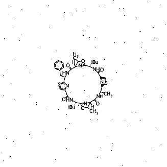 CCC(C)[C@@H]1NC(=O)c2csc(n2)[C@@H](Cc2ccccc2)NC(=O)[C@H]2N=C(O[C@@H]2C)[C@H](C(C)CC)NC(=O)c2csc(n2)[C@@H](C)NC(=O)[C@H]2N=C1O[C@@H]2C